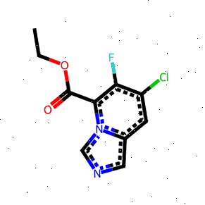 CCOC(=O)c1c(F)c(Cl)cc2cncn12